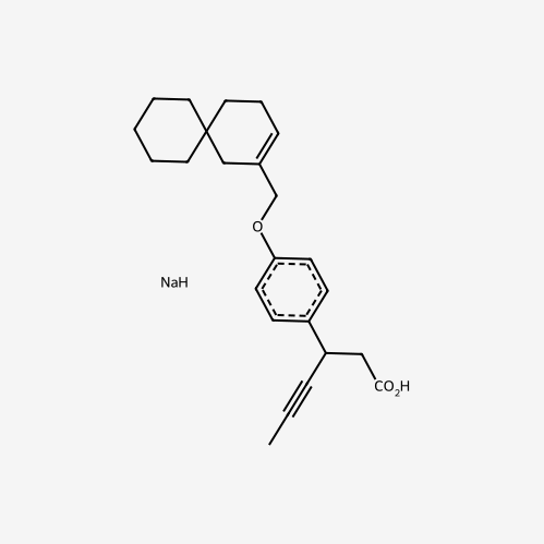 CC#CC(CC(=O)O)c1ccc(OCC2=CCCC3(CCCCC3)C2)cc1.[NaH]